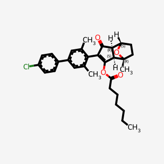 CCCCCCC(=O)OC1=C(c2c(C)cc(-c3ccc(Cl)cc3)cc2C)C(=O)[C@H]2[C@@H]3CC[C@@](C)(O3)[C@@H]12